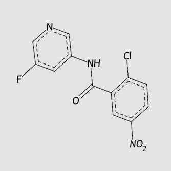 O=C(Nc1cncc(F)c1)c1cc([N+](=O)[O-])ccc1Cl